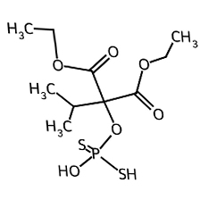 CCOC(=O)C(OP(O)(=S)S)(C(=O)OCC)C(C)C